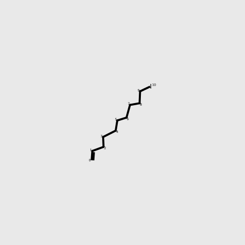 C=CCCCCCCCCI